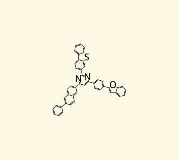 c1ccc(-c2ccc3cc(-c4cc(-c5ccc(-c6cc7ccccc7o6)cc5)nc(-c5ccc6c(c5)sc5ccccc56)n4)ccc3c2)cc1